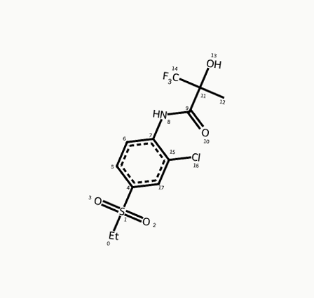 CCS(=O)(=O)c1ccc(NC(=O)C(C)(O)C(F)(F)F)c(Cl)c1